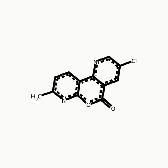 Cc1ccc2c(n1)oc(=O)c1cc(Cl)cnc12